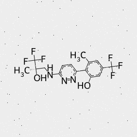 Cc1cc(C(F)(F)F)cc(O)c1-c1ccc(NC[C@@](C)(O)C(F)(F)F)nn1